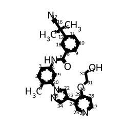 Cc1ccc(NC(=O)c2cccc(C(C)(C)C#N)c2)cc1-n1cc(-c2cnccc2OCCO)cn1